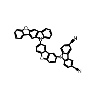 N#Cc1ccc2c(c1)c1cc(C#N)ccc1n2-c1ccc2oc3ccc(-n4c5ccccc5c5cc6oc7ccccc7c6cc54)cc3c2c1